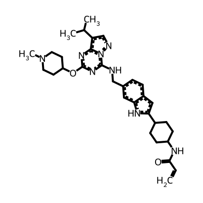 C=CC(=O)NC1CCC(c2cc3ccc(CNc4nc(OC5CCN(C)CC5)nc5c(C(C)C)cnn45)cc3[nH]2)CC1